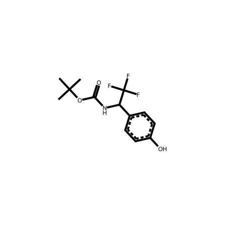 CC(C)(C)OC(=O)NC(c1ccc(O)cc1)C(F)(F)F